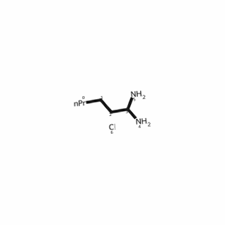 CCCCCC(N)N.[C]